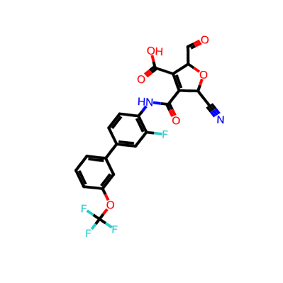 N#CC1OC(C=O)C(C(=O)O)=C1C(=O)Nc1ccc(-c2cccc(OC(F)(F)F)c2)cc1F